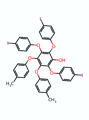 Cc1ccc(Oc2c(Oc3ccc(I)cc3)c(O)c(Oc3ccc(I)cc3)c(Oc3ccc(I)cc3)c2Oc2ccc(C)cc2)cc1